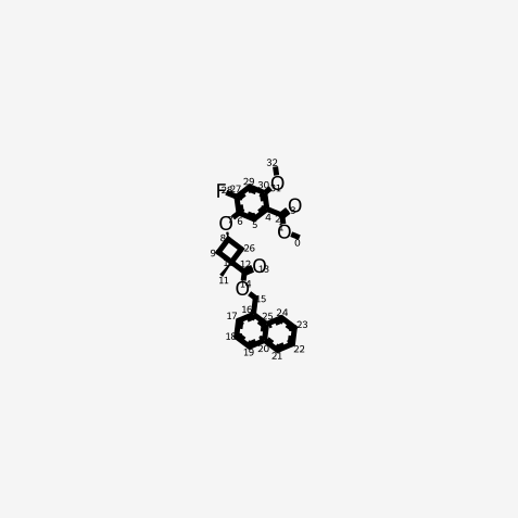 COC(=O)c1cc(O[C@H]2C[C@@](C)(C(=O)OCc3cccc4ccccc34)C2)c(F)cc1OC